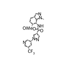 COc1ccc2cnn(C)c2c1NS(=O)(=O)c1cnn(-c2cncc(C(F)(F)F)c2)c1